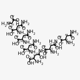 NC(=O)CC(N)C(=O)O.NC(=O)CC(N)C(=O)O.NC(=O)CC(N)C(=O)O.NC(=O)CC(N)C(=O)O.NC(=O)CC(N)C(=O)O.NC(=O)CC(N)C(=O)O.NCC(=O)O